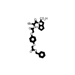 CC(C)(C)C(NC(=O)COc1ccc(OCC(=O)OCc2ccccc2)cc1)C(=O)N1C(C(=O)O)CC2CCCC21